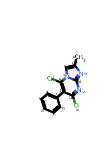 Cc1cn2c(Cl)c(-c3ccccc3)c(Cl)nc2n1